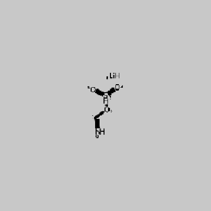 N=CO[SH](=O)=O.[LiH]